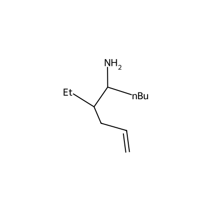 [CH2]CC(CC=C)C(N)CCCC